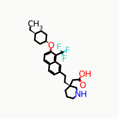 CC[C@H]1CC[C@@H](Oc2ccc3ccc(CC[C@]4(CC(=O)O)CCCNC4)cc3c2C(F)(F)F)CC1